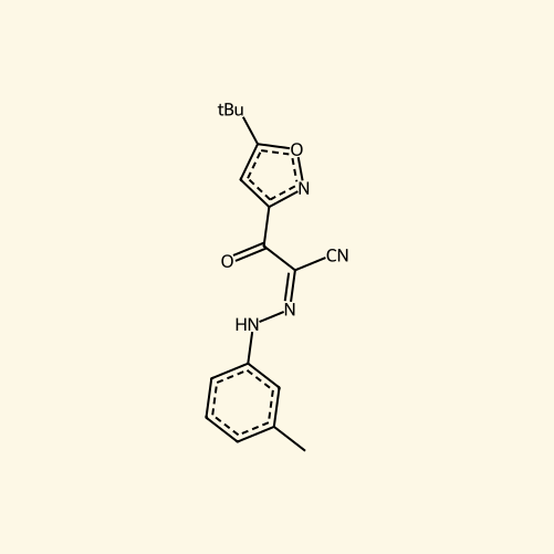 Cc1cccc(NN=C(C#N)C(=O)c2cc(C(C)(C)C)on2)c1